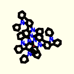 c1ccc(-n2c3ccccc3c3ccc4c(c5ccccc5n4-c4ccccc4-c4nc(-c5ccccc5-n5c6ccccc6c6c5ccc5c7ccccc7n(-c7ccccc7)c56)nc(-c5ccccc5-n5c6ccccc6c6c5ccc5c7ccccc7n(-c7ccccc7)c56)n4)c32)cc1